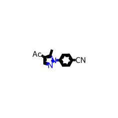 CC(=O)c1cnn(-c2ccc(C#N)cc2)c1C